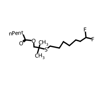 CCCCCC(=O)OCC(C)(C)SCCCCCCC(F)F